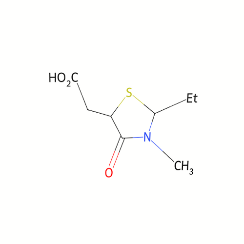 CCC1SC(CC(=O)O)C(=O)N1C